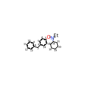 CCN(Oc1ccc(Cc2ccccc2)cc1)C1CCCCC1